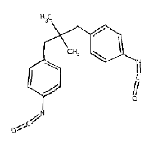 CC(C)(Cc1ccc(N=C=O)cc1)Cc1ccc(N=C=O)cc1